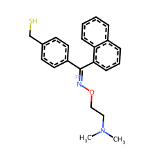 CN(C)CCO/N=C(/c1ccc(CS)cc1)c1cccc2ccccc12